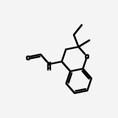 CCC1(C)CC(NC=O)c2ccccc2O1